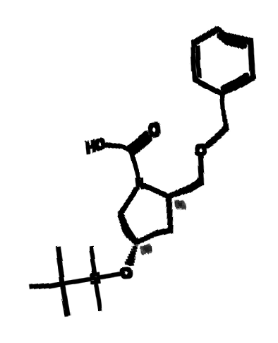 CC(C)(C)[Si](C)(C)O[C@H]1C[C@H](COCc2ccccc2)N(C(=O)O)C1